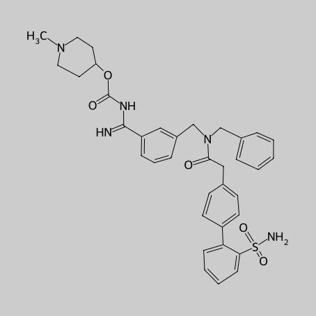 CN1CCC(OC(=O)NC(=N)c2cccc(CN(Cc3ccccc3)C(=O)Cc3ccc(-c4ccccc4S(N)(=O)=O)cc3)c2)CC1